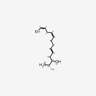 CC/C=C\C/C=C\CC/C=C/C[C@@H](O)[C@H](C)N